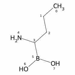 CCCC(N)B(O)O